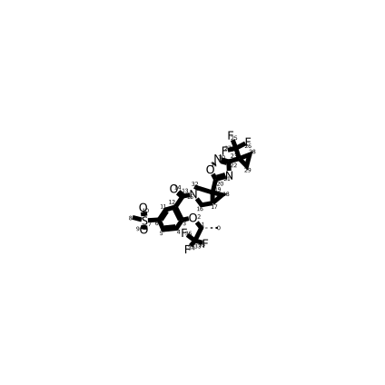 C[C@@H](Oc1ccc(S(C)(=O)=O)cc1C(=O)N1CC2CC2(c2nc(C3(C(F)(F)F)CC3)no2)C1)C(F)(F)F